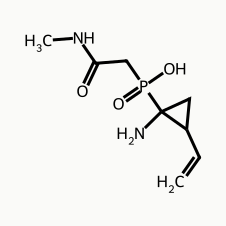 C=CC1CC1(N)P(=O)(O)CC(=O)NC